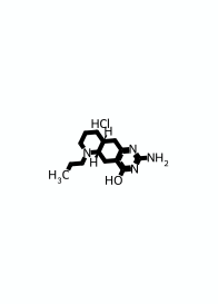 CCCN1CCC[C@H]2Cc3nc(N)nc(O)c3C[C@@H]21.Cl